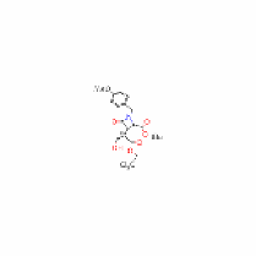 COc1ccc(CN2C(=O)C([C@H](CO)C(=O)OCC(Cl)(Cl)Cl)C2C(=O)OC(C)(C)C)cc1